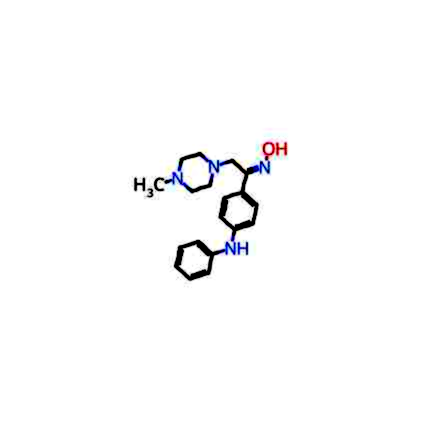 CN1CCN(C/C(=N\O)c2ccc(Nc3ccccc3)cc2)CC1